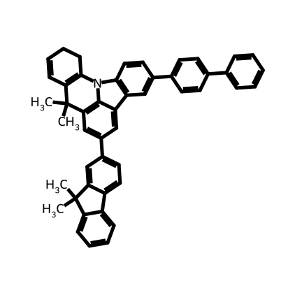 CC1(C)C2=C(CCC=C2)n2c3ccc(-c4ccc(-c5ccccc5)cc4)cc3c3cc(-c4ccc5c(c4)C(C)(C)c4ccccc4-5)cc1c32